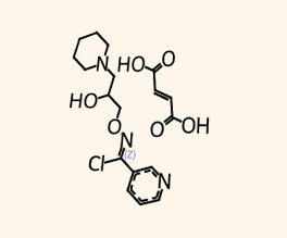 O=C(O)C=CC(=O)O.OC(CO/N=C(\Cl)c1cccnc1)CN1CCCCC1